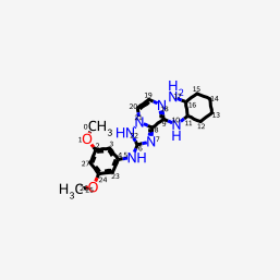 COc1cc(NC2N=C3C(NC4CCCCC4N)=NC=CN3N2)cc(OC)c1